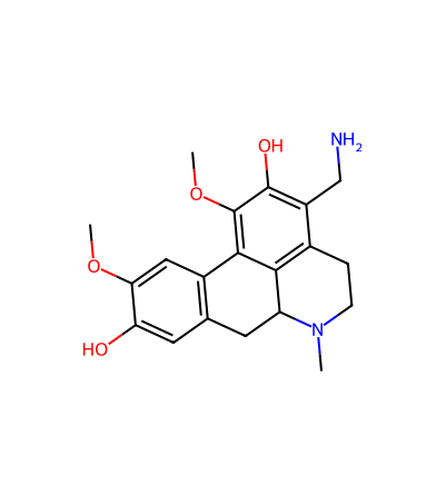 COc1cc2c(cc1O)CC1c3c(c(CN)c(O)c(OC)c3-2)CCN1C